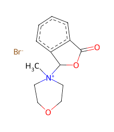 C[N+]1(C2OC(=O)c3ccccc32)CCOCC1.[Br-]